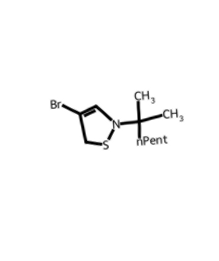 CCCCCC(C)(C)N1C=C(Br)CS1